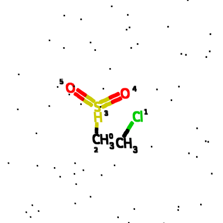 CCl.C[SH](=O)=O